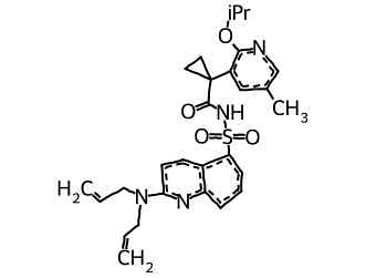 C=CCN(CC=C)c1ccc2c(S(=O)(=O)NC(=O)C3(c4cc(C)cnc4OC(C)C)CC3)cccc2n1